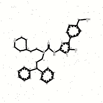 O=C(Nc1nc(-c2ccc(CO)cc2)c(Cl)s1)N(CCC1CCOCC1)CCC(c1ccccc1)c1ccccc1